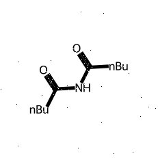 CCCCC(=O)NC(=O)CCCC